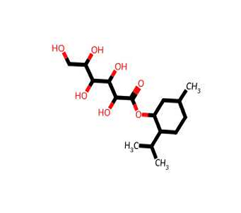 CC1CCC(C(C)C)C(OC(=O)C(O)C(O)C(O)C(O)CO)C1